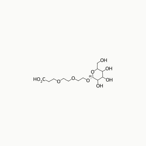 O=C(O)CCOCCOCCO[C@@H]1OC(CO)C(O)C(O)C1O